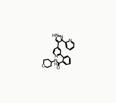 O=C(NC1CCOCC1)c1ccccc1-c1cc(-c2c[nH]nc2-c2ccccn2)ccn1